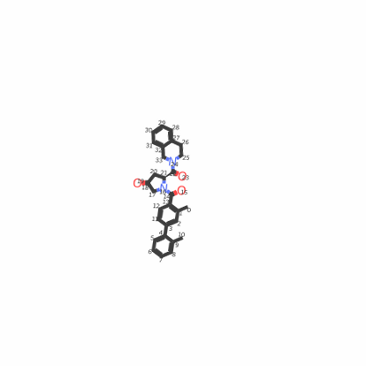 Cc1cc(-c2ccccc2C)ccc1C(=O)N1CC(=O)C[C@H]1C(=O)N1CCc2ccccc2C1